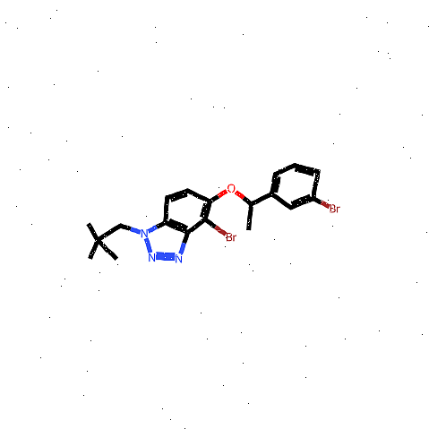 CC(Oc1ccc2c(nnn2CC(C)(C)C)c1Br)c1cccc(Br)c1